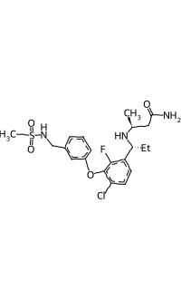 CC[C@@H](N[C@@H](C)CC(N)=O)c1ccc(Cl)c(Oc2cccc(CNS(C)(=O)=O)c2)c1F